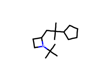 CC(C)(CC1CCN1C(C)(C)C)C1CCCC1